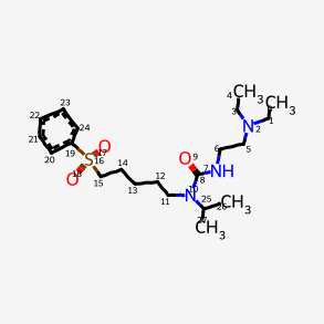 CCN(CC)CCNC(=O)N(CCCCCS(=O)(=O)c1ccccc1)C(C)C